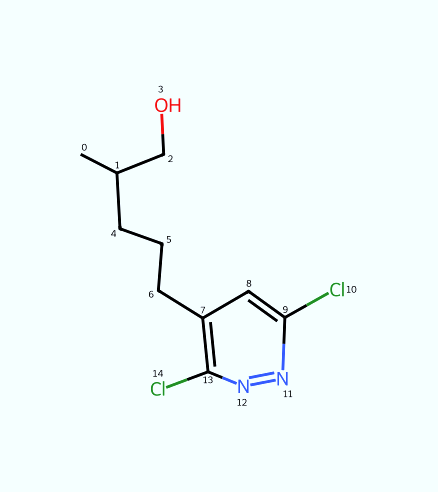 CC(CO)CCCc1cc(Cl)nnc1Cl